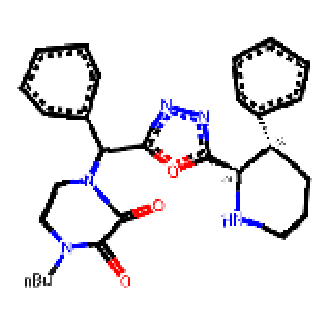 CCCCN1CCN(C(c2ccccc2)c2nnc([C@@H]3NCCC[C@H]3c3ccccc3)o2)C(=O)C1=O